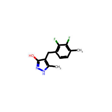 Cc1ccc(Cc2c(O)n[nH]c2C)c(F)c1F